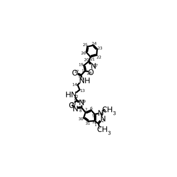 Cc1nn(C)c2cc(-c3noc(NCCNC(=O)c4cc(-c5ccccc5)no4)n3)ccc12